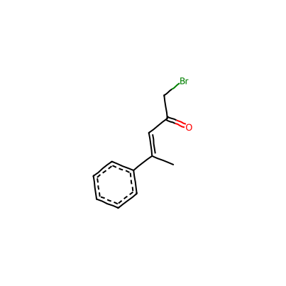 CC(=CC(=O)CBr)c1ccccc1